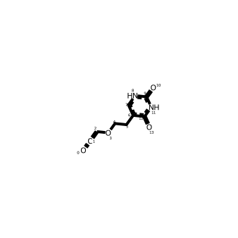 O=C=COCCc1c[nH]c(=O)[nH]c1=O